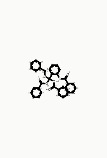 O=C(Oc1ccccc1C(OC(=O)c1ccccc1)(OC(=O)c1ccccc1)OC(=O)c1ccccc1)c1ccccc1